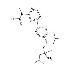 CC(C)CC(C)(N)COc1ccc(-c2ccnc(N(C)C(=O)O)c2)cc1CN(C)C